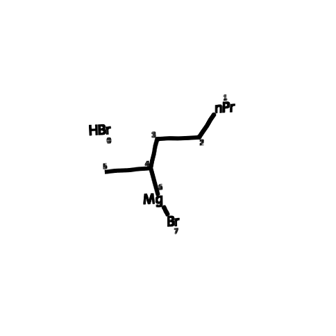 Br.CCCCC[CH](C)[Mg][Br]